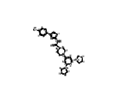 S=C(Nc1nc(-c2ccc(Cl)cc2)cs1)N1CCN(c2cc(N3CCCC3)nc(N3CCCC3)n2)CC1